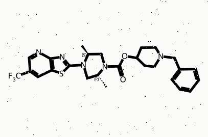 C[C@@H]1CN(c2nc3ncc(C(F)(F)F)cc3s2)[C@@H](C)CN1C(=O)OC1CCN(Cc2ccccc2)CC1